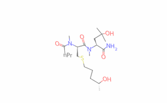 CCCC(=O)N(C)[C@H](CSCCC[C@@H](C)O)C(=O)N(C)[C@@H](CC(C)(C)O)C(N)=O